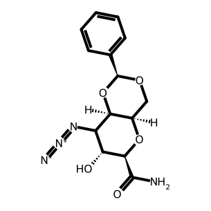 [N-]=[N+]=NC1[C@@H](O)[C@H](C(N)=O)O[C@@H]2CO[C@H](c3ccccc3)O[C@H]12